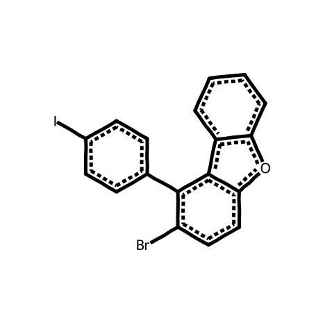 Brc1ccc2oc3ccccc3c2c1-c1ccc(I)cc1